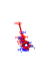 CCCC[C@H](NC(=O)[C@@H]1C[C@@H](O)CN1C(=O)[C@H](Cc1ccc(O)cc1)NC(=O)[C@H](CO)NC(=O)COCCOCCNC(=O)CCCCCCCCCCCCCCC(=O)O)C(=O)N[C@H]1CCC(=O)NCCCC[C@@H](C(C)=O)NC(=O)[C@H](Cc2c[nH]c3ccccc23)NC(=O)[C@H](CCCNC(=N)N)NC(=O)[C@@H](Cc2ccccc2)NC(=O)[C@@H]2C[C@@H](O)CN2C1=O